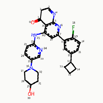 O=C1CC=Nc2nc(-c3cc(C4CCC4)ccc3F)cc(Nc3ccc(N4CCC(O)CC4)cn3)c21